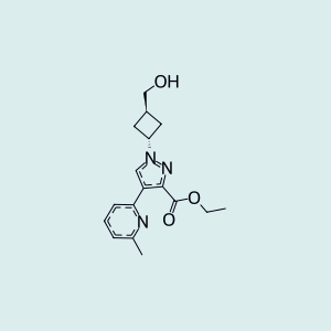 CCOC(=O)c1nn([C@H]2C[C@H](CO)C2)cc1-c1cccc(C)n1